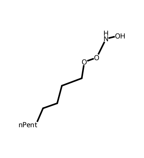 CCCCCCCCCOONO